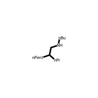 CCCCCC(CCC)CNCCCC